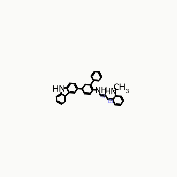 CNC1C=CC=C/C1=C/C=C/NC1=C(c2ccccc2)CC(c2ccc3[nH]c4ccccc4c3c2)C=C1